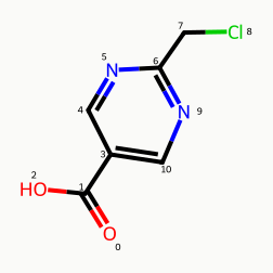 O=C(O)c1cnc(CCl)nc1